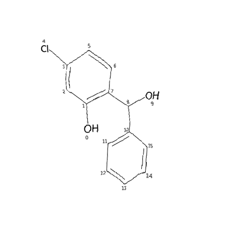 Oc1cc(Cl)ccc1C(O)c1ccccc1